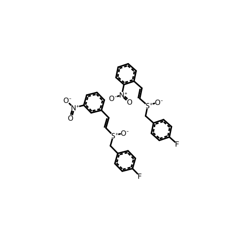 O=[N+]([O-])c1cccc(C=C[S+]([O-])Cc2ccc(F)cc2)c1.O=[N+]([O-])c1ccccc1C=C[S+]([O-])Cc1ccc(F)cc1